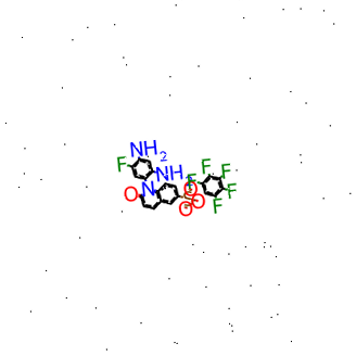 Nc1cc(N)c(-n2c(=O)ccc3cc(S(=O)(=O)Oc4c(F)c(F)c(F)c(F)c4F)ccc32)cc1F